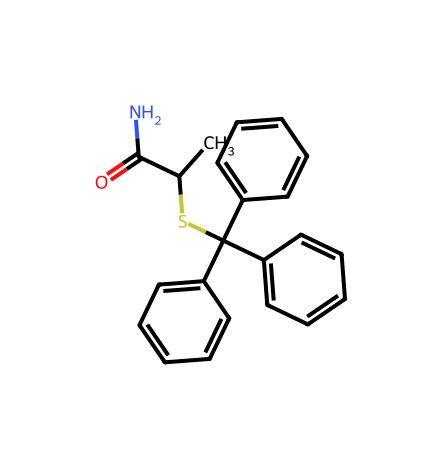 CC(SC(c1ccccc1)(c1ccccc1)c1ccccc1)C(N)=O